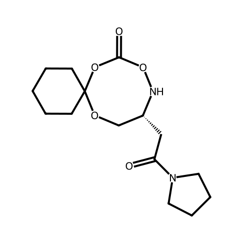 O=C1ON[C@H](CC(=O)N2CCCC2)COC2(CCCCC2)O1